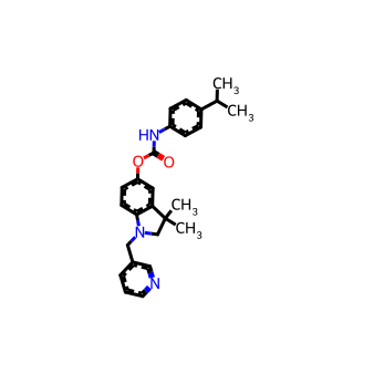 CC(C)c1ccc(NC(=O)Oc2ccc3c(c2)C(C)(C)CN3Cc2cccnc2)cc1